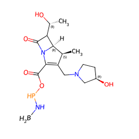 BNPOC(=O)C1=C(CN2CC[C@@H](O)C2)[C@H](C)[C@@H]2C([C@@H](C)O)C(=O)N12